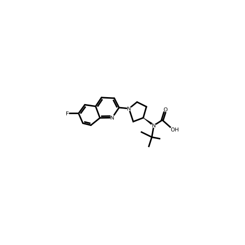 CC(C)(C)N(C(=O)O)[C@@H]1CCN(c2ccc3cc(F)ccc3n2)C1